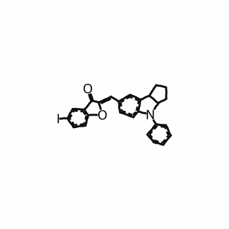 O=C1/C(=C/c2ccc3c(c2)C2CCCC2N3c2ccccc2)Oc2ccc(I)cc21